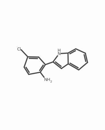 Nc1ccc(Cl)cc1-c1cc2ccccc2[nH]1